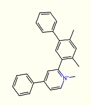 Cc1cc(C)c(-c2cc(-c3ccccc3)cc[n+]2C)cc1-c1ccccc1